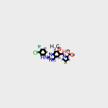 COc1cc2nc(Nc3ccc(F)c(Cl)c3)ncc2cc1CN1CCC[C@@H]1C(=O)O